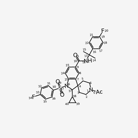 CC(=O)N1CCC2(CC1)c1cc(C(=O)NC(C)(C)c3ccc(F)cc3)ccc1N(S(=O)(=O)c1ccc(F)cc1)C2C1CC1